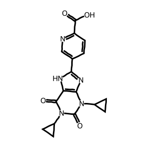 O=C(O)c1ccc(-c2nc3c([nH]2)c(=O)n(C2CC2)c(=O)n3C2CC2)cn1